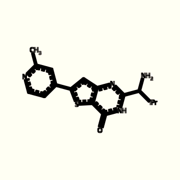 Cc1cc(-c2cc3nc(C(N)C(C)C)[nH]c(=O)c3s2)ccn1